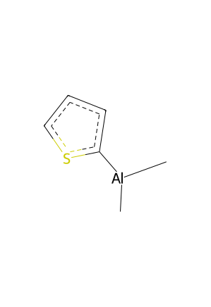 [CH3][Al]([CH3])[c]1cccs1